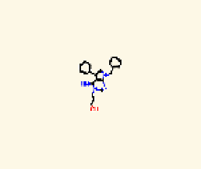 N=c1c2c(-c3ccccc3)cn(Cc3ccccc3)c2ncn1CCCO